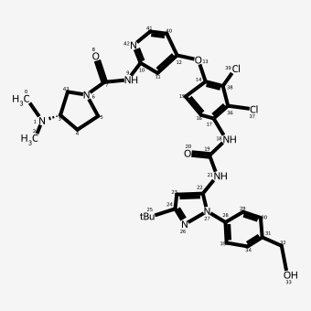 CN(C)[C@H]1CCN(C(=O)Nc2cc(Oc3ccc(NC(=O)Nc4cc(C(C)(C)C)nn4-c4ccc(CO)cc4)c(Cl)c3Cl)ccn2)C1